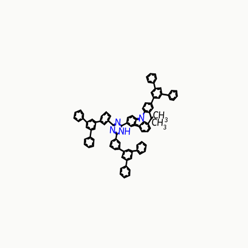 CC1(C)c2cc(-c3cc(-c4ccccc4)cc(-c4ccccc4)c3)ccc2-n2c3ccc(C4N=C(c5cccc(-c6cc(-c7ccccc7)cc(-c7ccccc7)c6)c5)N=C(c5cccc(-c6cc(-c7ccccc7)cc(-c7ccccc7)c6)c5)N4)cc3c3cccc1c32